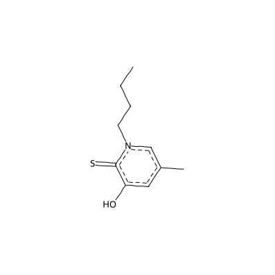 CCCCn1cc(C)cc(O)c1=S